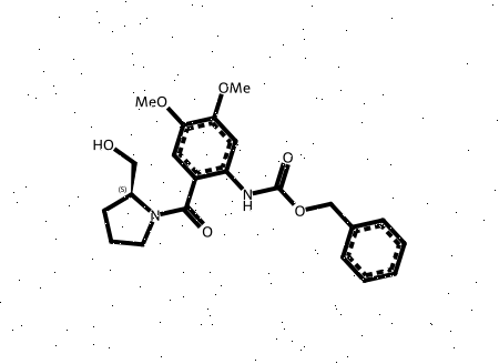 COc1cc(NC(=O)OCc2ccccc2)c(C(=O)N2CCC[C@H]2CO)cc1OC